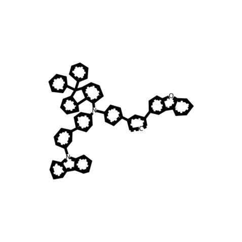 c1ccc(C2(c3ccccc3)c3ccccc3-c3c(N(c4ccc(-c5cccc(-c6ccc7oc8ccccc8c7c6)c5)cc4)c4ccc(-c5cccc(-n6c7ccccc7c7ccccc76)c5)cc4)cccc32)cc1